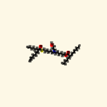 CCCCCCCCC(CCCCCC)C(=O)OCCCCCCN(CCCCCCSC(=O)C(CCCCCC)CCCCCCCC)CCCOC